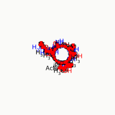 CC(=O)N[C@@H](CC(C)C)C(=O)N[C@H](C(=O)N[C@@H](Cc1ccccc1)C(=O)N[C@]1(C)CCCCCCC=CCCC[C@@](C)(C(=O)N[C@@H](CO)C(=O)CC(=O)[C@H](C)NCC(=O)[C@H](Cc2ccccc2)NN)NC(=O)[C@H](CC(C)C)NC(=O)[C@H](CCC(N)=O)NCN[C@@H](C)C(=O)CC(=O)[C@H](Cc2c[nH]c3ccccc23)NC(=O)[C@H](Cc2ccc(O)cc2)NCC(=O)[C@H](C)NCC1=O)[C@@H](C)O